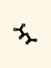 CCC(CC)C(=O)OC(=O)C(C)C